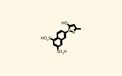 Cc1[c]c(O)n(-c2ccc3c(S(=O)(=O)O)cc(S(=O)(=O)O)cc3c2)n1